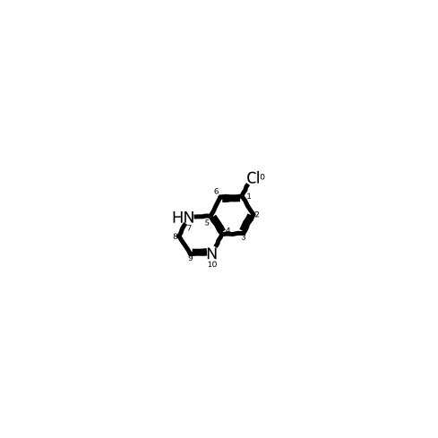 Clc1ccc2c(c1)NCC=N2